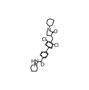 O=C(NN1CCCCC1)c1ccc(-c2cc(Cl)c(CC3CCN(C4CCCCC4)C3=O)c(Cl)c2)cc1